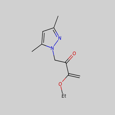 C=C(OCC)C(=O)Cn1nc(C)cc1C